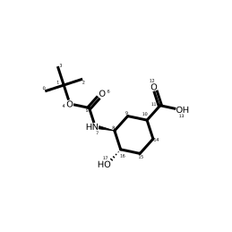 CC(C)(C)OC(=O)N[C@H]1CC(C(=O)O)CC[C@@H]1O